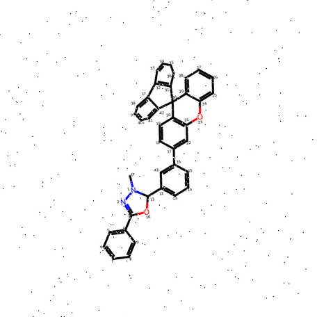 CN1N=C(c2ccccc2)OC1c1cccc(-c2ccc3c(c2)Oc2ccccc2C32C3=C(C=CCC3)c3ccccc32)c1